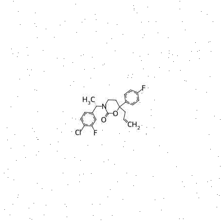 C=CCC1(c2ccc(F)cc2)CCN([C@@H](C)c2ccc(Cl)c(F)c2)C(=O)O1